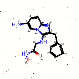 Nc1ccc2nc(Cc3ccccc3)c(NCC(=O)NO)n2c1